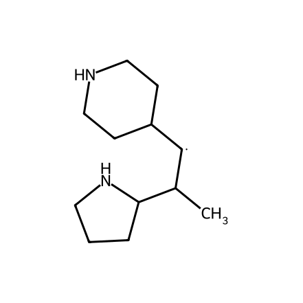 CC([CH]C1CCNCC1)C1CCCN1